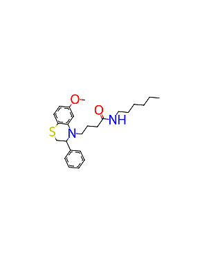 CCCCCCNC(=O)CCCN1c2cc(OC)ccc2SCC1c1ccccc1